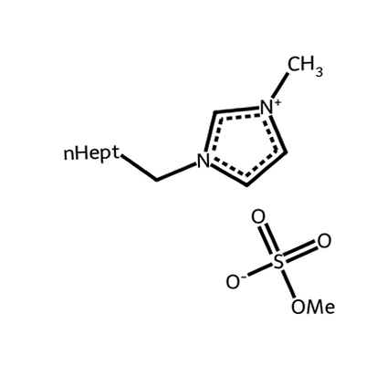 CCCCCCCCn1cc[n+](C)c1.COS(=O)(=O)[O-]